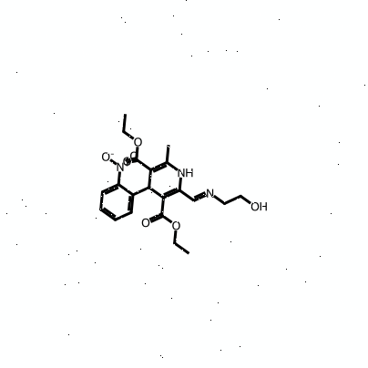 CCOC(=O)C1=C(C)NC(/C=N/CCO)=C(C(=O)OCC)C1c1ccccc1[N+](=O)[O-]